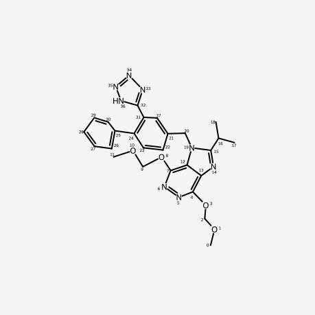 COCOc1nnc(OCOC)c2c1nc(C(C)C)n2Cc1ccc(-c2ccccc2)c(-c2nnn[nH]2)c1